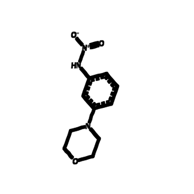 O=[N+]([O-])Nc1cccc(N2CCOCC2)c1